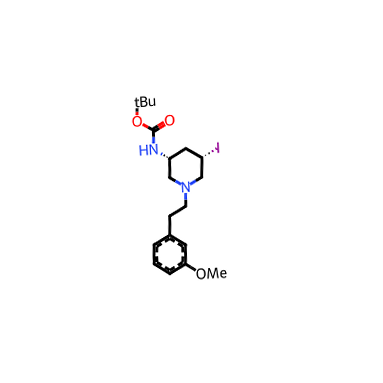 COc1cccc(CCN2C[C@@H](I)C[C@@H](NC(=O)OC(C)(C)C)C2)c1